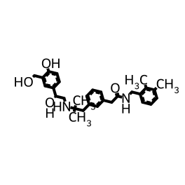 Cc1cccc(CNC(=O)Cc2cccc(CC(C)(C)NC[C@@H](O)c3ccc(O)c(CO)c3)c2)c1C